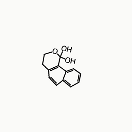 OC1(O)OCCc2ccc3ccccc3c21